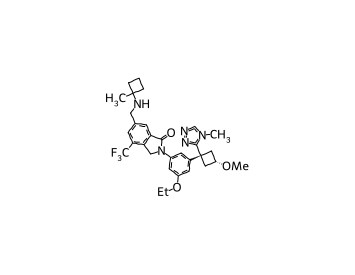 CCOc1cc(N2Cc3c(cc(CNC4(C)CCC4)cc3C(F)(F)F)C2=O)cc([C@]2(c3nncn3C)C[C@@H](OC)C2)c1